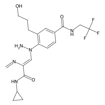 C=N/C(=C\N(N)c1ccc(C(=O)NCC(F)(F)F)cc1CCCO)C(=O)NC1CC1